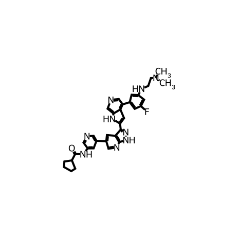 CN(C)CCNc1cc(F)cc(-c2cncc3[nH]c(-c4n[nH]c5ncc(-c6cncc(NC(=O)C7CCCC7)c6)cc45)cc23)c1